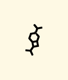 CC(C)C1CC2CN(C(C)C)CCC21